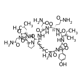 CC[C@H](C)[C@@H]1NC(=O)[C@H](C(=O)c2ccc(O)cc2)NC(=O)[C@@H](N)CSSC[C@@H](C(=O)N2CCC[C@H]2C(=O)N[C@@H](CC(C)C)C(=O)NCC(N)=O)NC(=O)[C@H](CC(N)=O)NC(=O)[C@H](CCC(N)=O)NC1=O